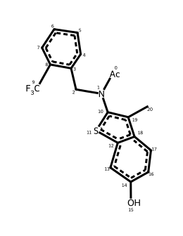 CC(=O)N(Cc1ccccc1C(F)(F)F)c1sc2cc(O)ccc2c1C